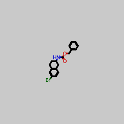 O=C(NC1CCc2cc(Br)ccc2C1)OCc1ccccc1